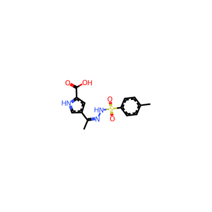 CC(=NNS(=O)(=O)c1ccc(C)cc1)c1c[nH]c(C(=O)O)c1